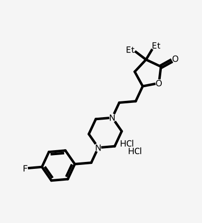 CCC1(CC)CC(CCN2CCN(Cc3ccc(F)cc3)CC2)OC1=O.Cl.Cl